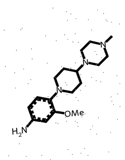 COc1cc(N)ccc1N1CCC(N2CCN(C)CC2)CC1